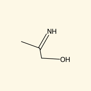 CC(=N)CO